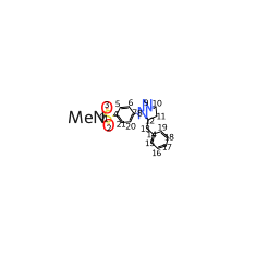 CNS(=O)(=O)c1ccc(N2N=CCC2Cc2ccccc2)cc1